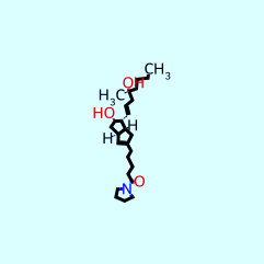 CCCC[C@](C)(O)C/C=C/[C@@H]1[C@H]2CC(CCCCC(=O)N3CCCC3)=C[C@H]2C[C@H]1O